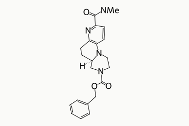 CNC(=O)c1ccc2c(n1)CC[C@@H]1CN(C(=O)OCc3ccccc3)CCN21